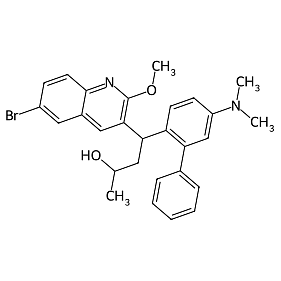 COc1nc2ccc(Br)cc2cc1C(CC(C)O)c1ccc(N(C)C)cc1-c1ccccc1